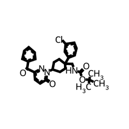 CC(C)(C)OC(=O)NCC1(c2cccc(Cl)c2)CCC(n2nc(C(=O)c3ccccc3)ccc2=O)CC1